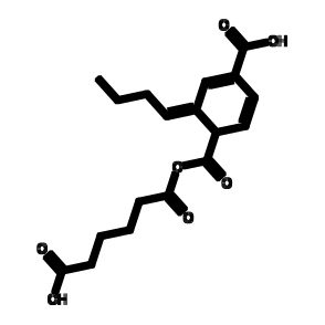 CCCC=C1C=C(C(=O)O)C=CC1C(=O)OC(=O)CCCCC(=O)O